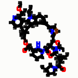 CCO[C@@H]1c2nc(cs2)-c2ccc3c(c2)c(c(-c2cccnc2[C@H](C)OC)n3CC)CC(C)(C)COC(=O)[C@@H]2CCCN(N2)C(=O)[C@H]1NC(=O)[C@@H]1[C@@H](C)[C@H]1C(=O)N1CC[C@@H](C)C1